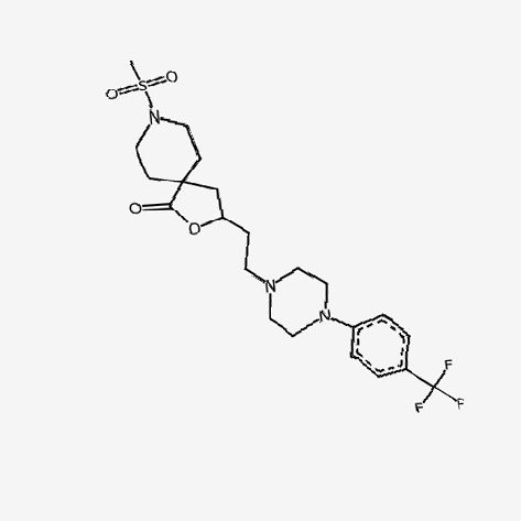 CS(=O)(=O)N1CCC2(CC1)CC(CCN1CCN(c3ccc(C(F)(F)F)cc3)CC1)OC2=O